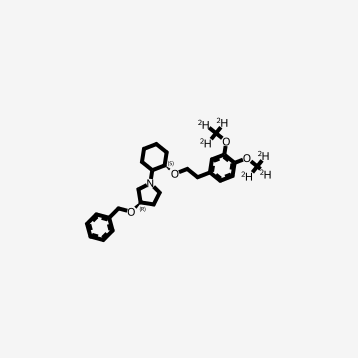 [2H]C([2H])([2H])Oc1ccc(CCO[C@H]2CCCCC2N2CC[C@@H](OCc3ccccc3)C2)cc1OC([2H])([2H])[2H]